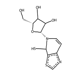 OC[C@H]1O[C@@H](N2C=Cc3ncsc3C2S)C(O)C1O